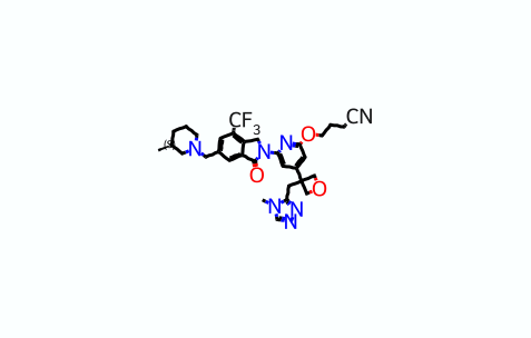 C[C@H]1CCCN(Cc2cc3c(c(C(F)(F)F)c2)CN(c2cc(C4(Cc5nncn5C)COC4)cc(OCCCC#N)n2)C3=O)C1